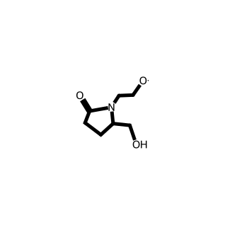 [O]CCN1C(=O)CCC1CO